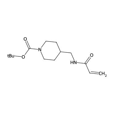 C=CC(=O)NCC1CCN(C(=O)OC(C)(C)C)CC1